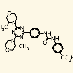 C[C@@H]1COCCN1c1nc(-c2ccc(NC(=O)Nc3ccc(C(=O)O)cc3)cc2)nc(N2CCOC[C@@H]2C)n1